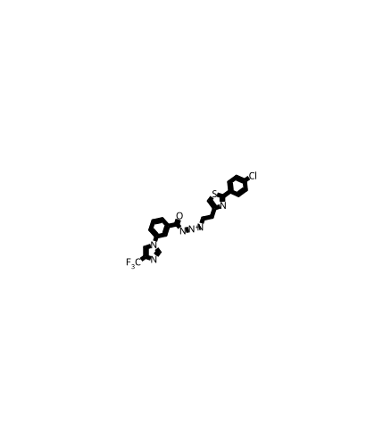 O=C(N=[N+]=NCCc1csc(-c2ccc(Cl)cc2)n1)c1cccc(-n2cnc(C(F)(F)F)c2)c1